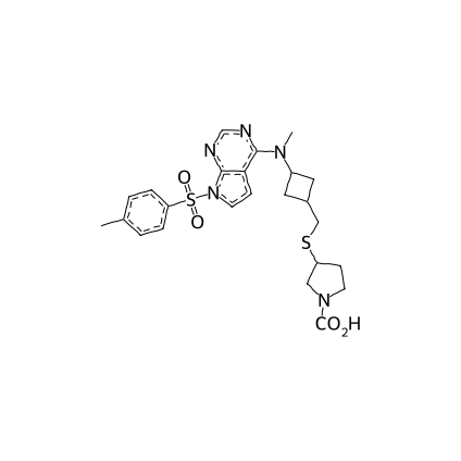 Cc1ccc(S(=O)(=O)n2ccc3c(N(C)C4CC(CSC5CCN(C(=O)O)C5)C4)ncnc32)cc1